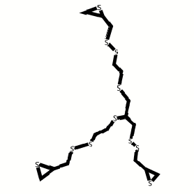 C(CSSCC1CS1)SCC(CSSCC1CS1)SCCSSCC1CS1